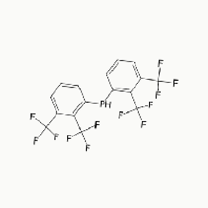 FC(F)(F)c1cccc(Pc2cccc(C(F)(F)F)c2C(F)(F)F)c1C(F)(F)F